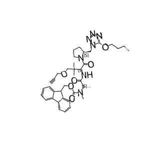 C#CCOCC(C)(C)[C@H](NC(=O)[C@H](C)N(C)C(=O)OCC1c2ccccc2-c2ccccc21)C(=O)N1CCC[C@H]1Cn1nnnc1OCCCC